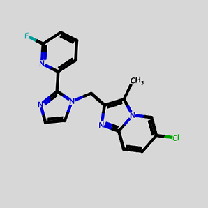 Cc1c(Cn2ccnc2-c2cccc(F)n2)nc2ccc(Cl)cn12